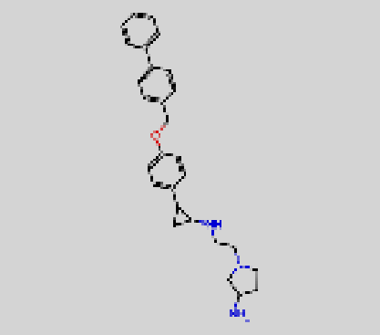 N[C@@H]1CCN(CCN[C@H]2CC2c2ccc(OCc3ccc(-c4ccccc4)cc3)cc2)C1